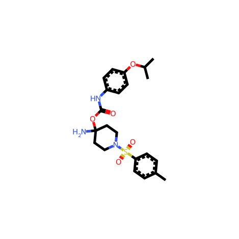 Cc1ccc(S(=O)(=O)N2CCC(N)(OC(=O)Nc3ccc(OC(C)C)cc3)CC2)cc1